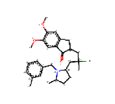 COc1cc2c(cc1OC)C(=O)C(CC(C)(F)CC1CCC(C)N1Cc1cccc(C)c1)C2